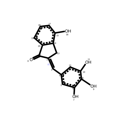 O=C1/C(=C/c2cc(O)c(O)c(O)c2)Cc2c(O)cccc21